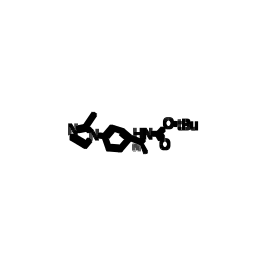 Cc1nccn1-c1ccc([C@H](C)NC(=O)OC(C)(C)C)cc1